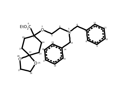 CCOC(=O)C1(OCCN(Cc2ccccc2)Cc2ccccc2)CCC2(CC1)OCCO2